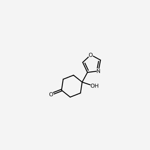 O=C1CCC(O)(c2cocn2)CC1